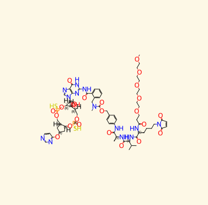 COCCOCCOCCOCCOCCC(=O)N[C@@H](CCCCN1C(=O)C=CC1=O)C(=O)N[C@H](C(=O)N[C@@H](C)C(=O)Nc1ccc(COC(=O)N(C)Cc2ccccc2C(=O)Nc2nc3c(ncn3[C@@H]3O[C@@H]4CO[P@@](=O)(S)O[C@H]5C[C@H](Oc6ccncn6)C[C@@H]5COP(=O)(S)O[C@@H]3[C@@H]4O)c(=O)[nH]2)cc1)C(C)C